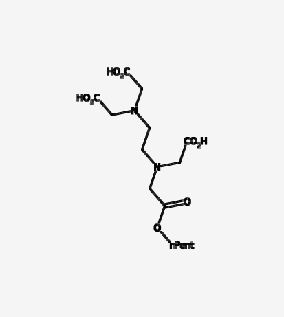 CCCCCOC(=O)CN(CCN(CC(=O)O)CC(=O)O)CC(=O)O